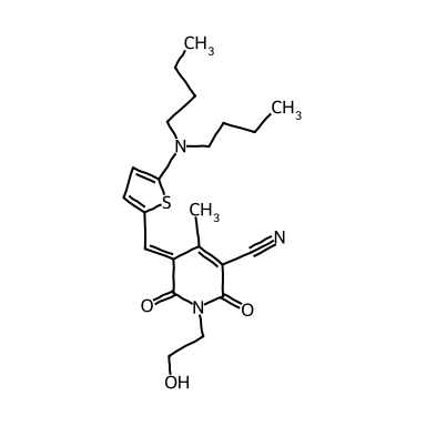 CCCCN(CCCC)c1ccc(/C=C2/C(=O)N(CCO)C(=O)C(C#N)=C2C)s1